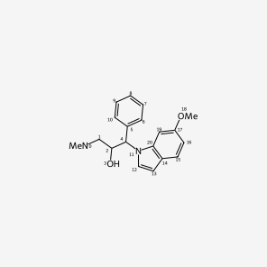 CNCC(O)C(c1ccccc1)n1ccc2ccc(OC)cc21